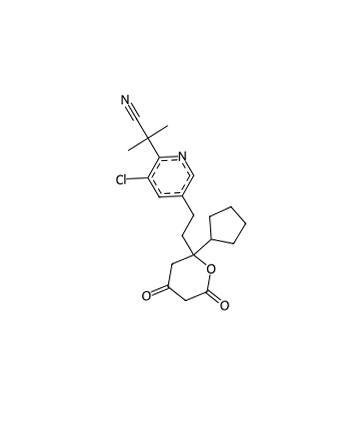 CC(C)(C#N)c1ncc(CCC2(C3CCCC3)CC(=O)CC(=O)O2)cc1Cl